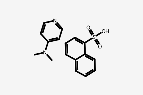 CN(C)c1ccncc1.O=S(=O)(O)c1cccc2ccccc12